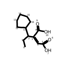 CCC(C(=CC(=O)O)C(=O)O)C1CCCCC1